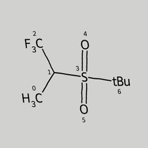 CC(C(F)(F)F)S(=O)(=O)C(C)(C)C